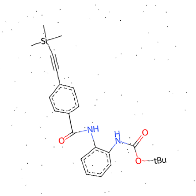 CC(C)(C)OC(=O)Nc1ccccc1NC(=O)c1ccc(C#C[Si](C)(C)C)cc1